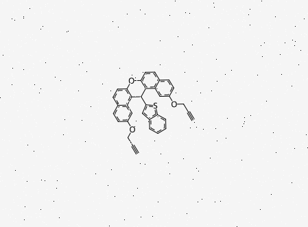 C#CCOc1ccc2ccc3c(c2c1)C(c1cc2ccccc2s1)c1c(ccc2ccc(OCC#C)cc12)O3